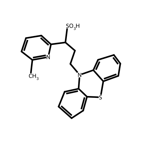 Cc1cccc(C(CCN2c3ccccc3Sc3ccccc32)S(=O)(=O)O)n1